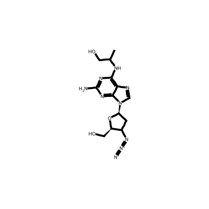 CC(CO)Nc1nc(N)nc2c1ncn2[C@H]1CC(N=[N+]=[N-])[C@@H](CO)O1